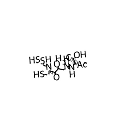 CC(=O)[C@@H](NNCC(=O)C(=O)[C@H](CS)NCSS)[C@@H](C)O